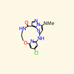 CNc1cc2nc3c(cnn13)C(=O)NCCCOc1cc(Cl)cc(n1)N2